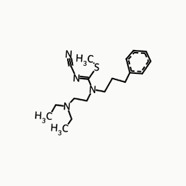 CCN(CC)CCN(CCCc1ccccc1)C(=NC#N)SC